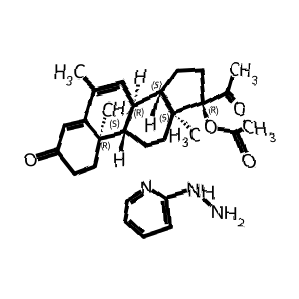 CC(=O)O[C@]1(C(C)=O)CC[C@H]2[C@@H]3C=C(C)C4=CC(=O)CC[C@]4(C)[C@H]3CC[C@@]21C.NNc1ccccn1